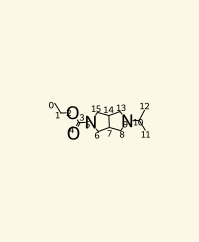 CCOC(=O)N1CC2CN(C(C)C)CC2C1